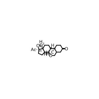 CC(=O)[C@@]1(O)CC[C@H]2[C@@H]3OCC4CC(=O)CC[C@]4(C)[C@H]3CC[C@@]21C